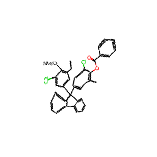 COc1c(C)cc(C2(c3cc(C)c(OC(=O)c4ccccc4)c(Cl)c3)c3ccccc3-c3ccccc32)cc1Cl